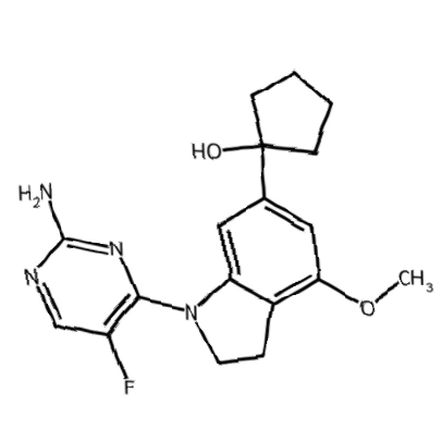 COc1cc(C2(O)CCCC2)cc2c1CCN2c1nc(N)ncc1F